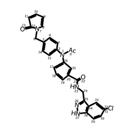 CC(=O)N(c1ccc(Cn2ccccc2=O)cc1)c1cccc(C(=O)NCc2n[nH]c3ccc(Cl)cc23)c1